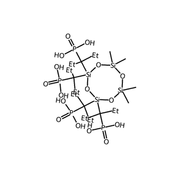 CCC(CC)([Si]1(C(CC)(CC)P(=O)(O)O)O[Si](C)(C)O[Si](C)(C)O[Si](C(CC)(CC)P(=O)(O)O)(C(CC)(CC)P(=O)(O)O)O1)P(=O)(O)O